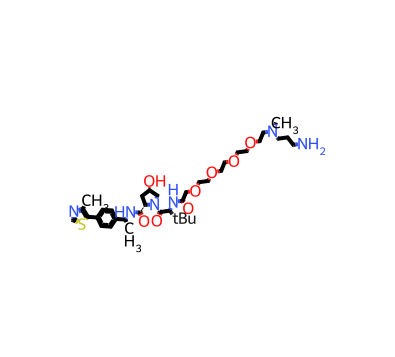 Cc1ncsc1-c1ccc(C(C)NC(=O)[C@@H]2C[C@@H](O)CN2C(=O)C(NC(=O)COCCOCCOCCOCCN(C)CCCN)C(C)(C)C)cc1